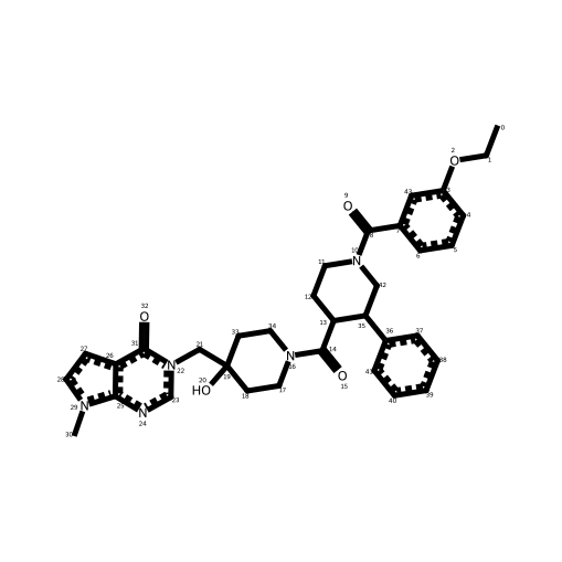 CCOc1cccc(C(=O)N2CCC(C(=O)N3CCC(O)(Cn4cnc5c(ccn5C)c4=O)CC3)C(c3ccccc3)C2)c1